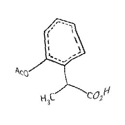 CC(=O)Oc1ccccc1C(C)C(=O)O